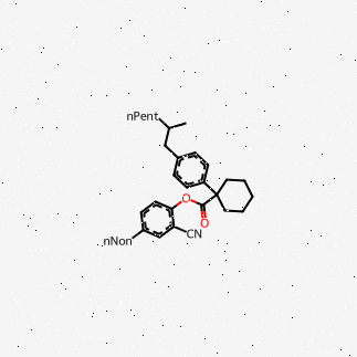 CCCCCCCCCc1ccc(OC(=O)C2(c3ccc(CC(C)CCCCC)cc3)CCCCC2)c(C#N)c1